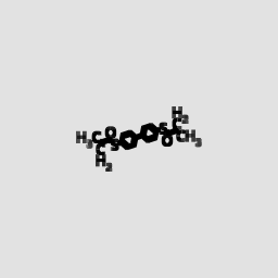 C=C(C)C(=O)Sc1ccc(-c2ccc(SC(=O)C(=C)C)cc2)cc1